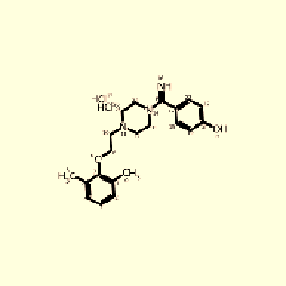 Cc1cccc(C)c1OCCN1CCN(C(=N)c2ccc(O)cc2)CC1.Cl.Cl